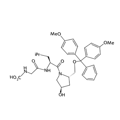 COc1ccc(C(OC[C@@H]2C[C@@H](O)CN2C(=O)[C@H](CC(C)C)NC(=O)CNC(=O)O)(c2ccccc2)c2ccc(OC)cc2)cc1